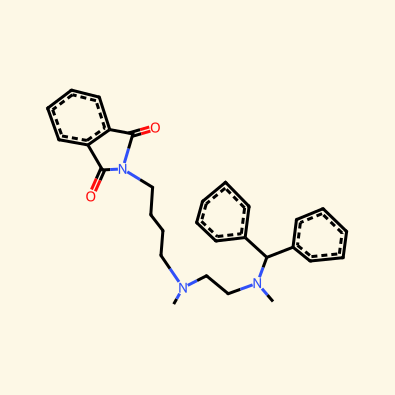 CN(CCCCN1C(=O)c2ccccc2C1=O)CCN(C)C(c1ccccc1)c1ccccc1